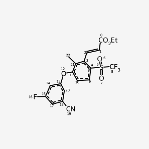 CCOC(=O)/C=C/c1c(S(=O)(=O)C(F)(F)F)ccc(Oc2cc(F)cc(C#N)c2)c1C